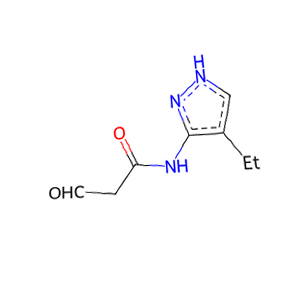 CCc1c[nH]nc1NC(=O)CC=O